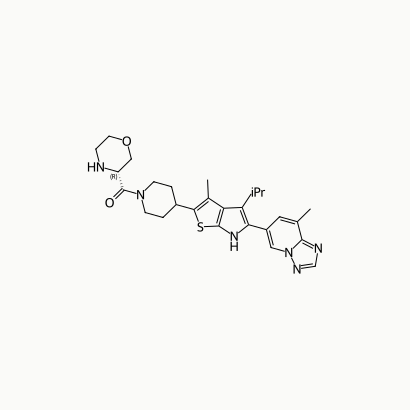 Cc1c(C2CCN(C(=O)[C@H]3COCCN3)CC2)sc2[nH]c(-c3cc(C)c4ncnn4c3)c(C(C)C)c12